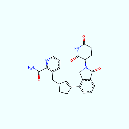 NC(=O)c1ncccc1CC1C=C(c2cccc3c2CN(C2CCC(=O)NC2=O)C3=O)CC1